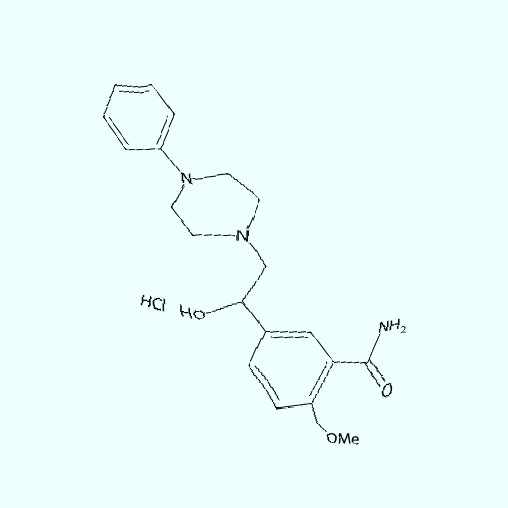 COc1ccc(C(O)CN2CCN(c3ccccc3)CC2)cc1C(N)=O.Cl